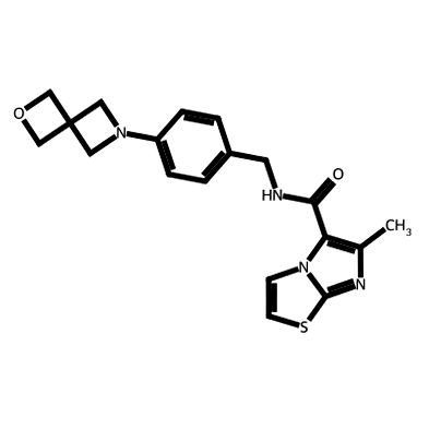 Cc1nc2sccn2c1C(=O)NCc1ccc(N2CC3(COC3)C2)cc1